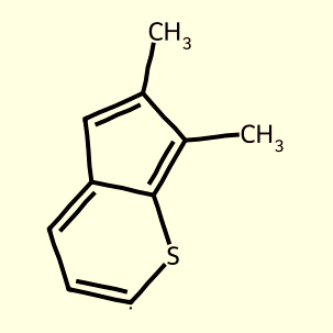 Cc1cc2cc[c]sc-2c1C